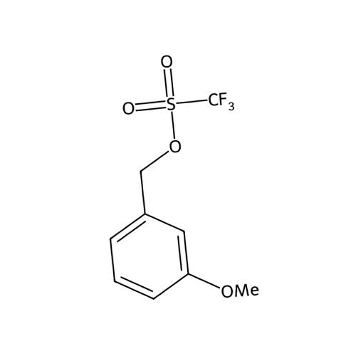 COc1cccc(COS(=O)(=O)C(F)(F)F)c1